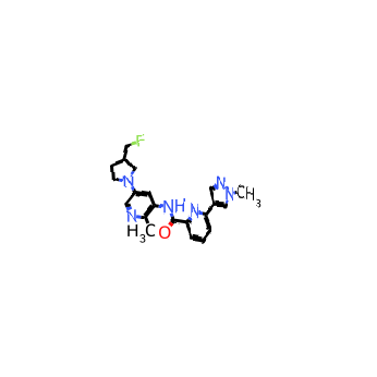 Cc1ncc(N2CCC(CF)C2)cc1NC(=O)c1cccc(-c2cnn(C)c2)n1